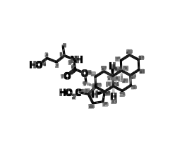 CC(CCO)NC(=O)OC[C@]12CC[C@H]3[C@@H](CCC4CCCC[C@@]43C)[C@@H]1CCC2C(=O)O